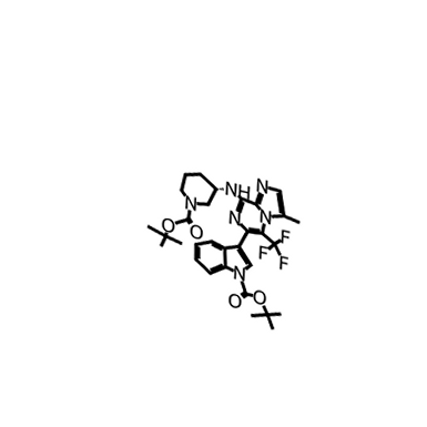 Cc1cnc2c(N[C@H]3CCCN(C(=O)OC(C)(C)C)C3)nc(-c3cn(C(=O)OC(C)(C)C)c4ccccc34)c(C(F)(F)F)n12